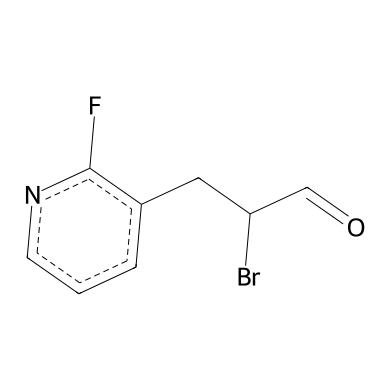 O=CC(Br)Cc1cccnc1F